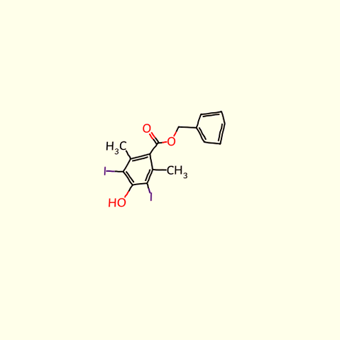 Cc1c(I)c(O)c(I)c(C)c1C(=O)OCc1ccccc1